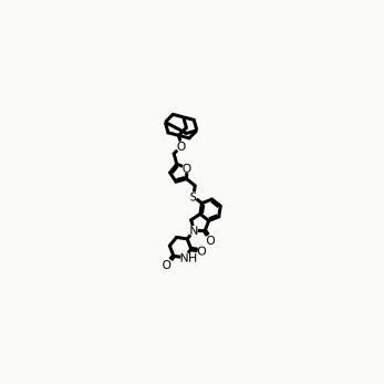 O=C1CCC(N2Cc3c(SCc4ccc(COC56CC7CC(CC(C7)C5)C6)o4)cccc3C2=O)C(=O)N1